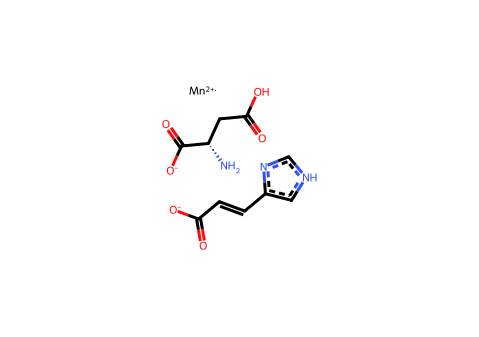 N[C@@H](CC(=O)O)C(=O)[O-].O=C([O-])C=Cc1c[nH]cn1.[Mn+2]